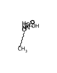 CCCCCCCCCCC[C@H]1CCN[C@@H](C(=O)N[C@@H](CO)[C@@H](O)c2ccccc2)C1